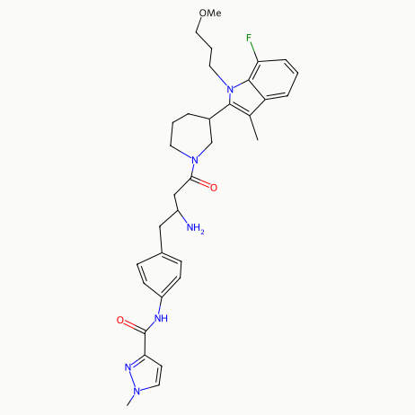 COCCCn1c(C2CCCN(C(=O)CC(N)Cc3ccc(NC(=O)c4ccn(C)n4)cc3)C2)c(C)c2cccc(F)c21